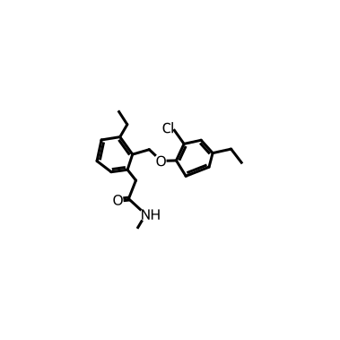 CCc1ccc(OCc2c(CC)cccc2CC(=O)NC)c(Cl)c1